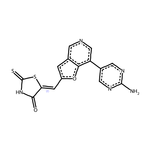 Nc1ncc(-c2cncc3cc(/C=C4\SC(=S)NC4=O)oc23)cn1